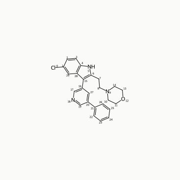 Clc1ccc2[nH]c(CCN3CCOCC3)c(-c3cncc(-c4ccccc4)c3)c2c1